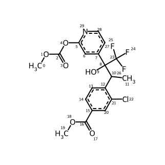 COC(=O)Oc1cc(C(O)(C(C)c2ccc(C(=O)OC)cc2Cl)C(F)(F)F)ccn1